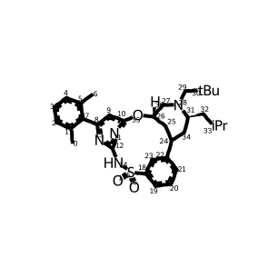 Cc1cccc(C)c1-c1cc2nc(n1)NS(=O)(=O)c1cccc(c1)C1C[C@@H](CN(CC(C)(C)C)[C@@H](CC(C)C)C1)O2